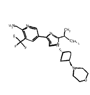 CC(C)c1nc(-c2cnc(N)c(C(F)(F)F)c2)cn1[C@H]1C[C@H](N2CCOCC2)C1